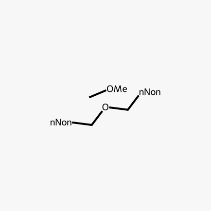 CCCCCCCCCCOCCCCCCCCCC.COC